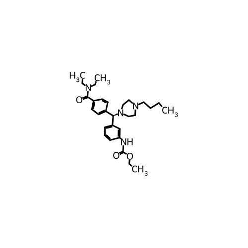 CCCCN1CCN([C@H](c2ccc(C(=O)N(CC)CC)cc2)c2cccc(NC(=O)OCC)c2)CC1